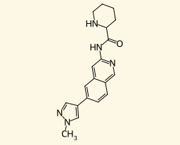 Cn1cc(-c2ccc3cnc(NC(=O)C4CCCCN4)cc3c2)cn1